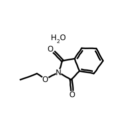 CCON1C(=O)c2ccccc2C1=O.O